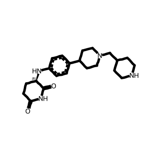 O=C1CC[C@@H](Nc2ccc(C3CCN(CC4CCNCC4)CC3)cc2)C(=O)N1